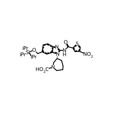 CC(C)[Si](OCc1ccc2nc(NC(=O)c3cc([N+](=O)[O-])cs3)n([C@@H]3CCCCN(C(=O)O)C3)c2c1)(C(C)C)C(C)C